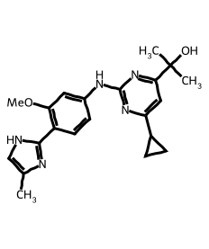 COc1cc(Nc2nc(C3CC3)cc(C(C)(C)O)n2)ccc1-c1nc(C)c[nH]1